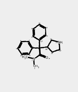 CN(C)C(=O)C(c1ccccc1)(c1ccccc1)C1CCNC1